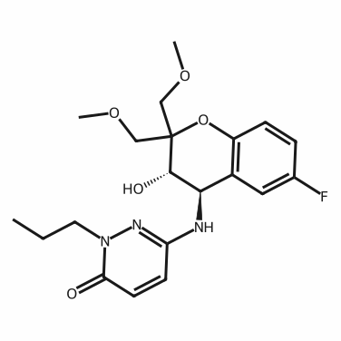 CCCn1nc(N[C@@H]2c3cc(F)ccc3OC(COC)(COC)[C@H]2O)ccc1=O